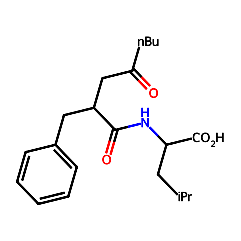 CCCCC(=O)CC(Cc1ccccc1)C(=O)NC(CC(C)C)C(=O)O